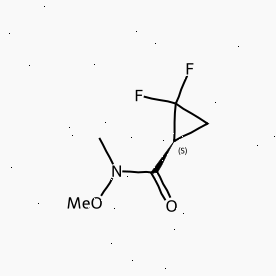 CON(C)C(=O)[C@@H]1CC1(F)F